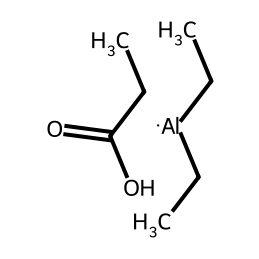 CCC(=O)O.C[CH2][Al][CH2]C